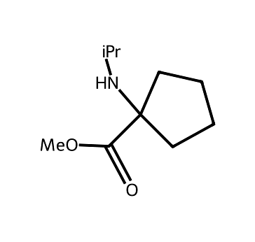 COC(=O)C1(NC(C)C)CCCC1